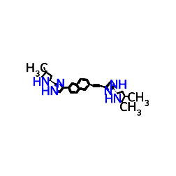 C[C@@H]1CN[C@H](c2nc(-c3ccc4cc(C#Cc5c[nH]c([C@@H]6C[C@@H](C)[C@@H](C)N6)n5)ccc4c3)c[nH]2)C1